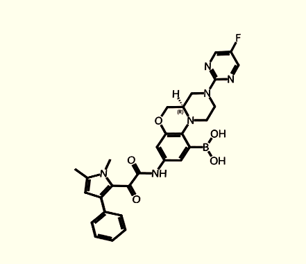 Cc1cc(-c2ccccc2)c(C(=O)C(=O)Nc2cc3c(c(B(O)O)c2)N2CCN(c4ncc(F)cn4)C[C@@H]2CO3)n1C